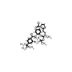 CN(CCC1=NC=C[N+]1(C(=O)[O-])c1ccc(OC(=O)c2ccc(C(C)(C)C)cc2)cc1)C(=O)OC(C)(C)C